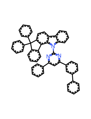 c1ccc(-c2cccc(-c3cc(-c4ccccc4)nc(-n4c5ccccc5c5ccc6c(c54)-c4ccccc4C6(c4ccccc4)c4ccccc4)n3)c2)cc1